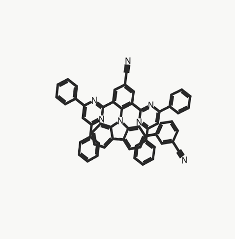 N#Cc1cccc(-c2ccc3c4ccccc4n(-c4c(-c5nc(-c6ccccc6)cc(-c6ccccc6)n5)cc(C#N)cc4-c4nc(-c5ccccc5)cc(-c5ccccc5)n4)c3c2)c1